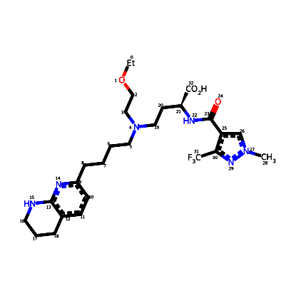 CCOCCN(CCCCc1ccc2c(n1)NCCC2)CC[C@H](NC(=O)c1cn(C)nc1C(F)(F)F)C(=O)O